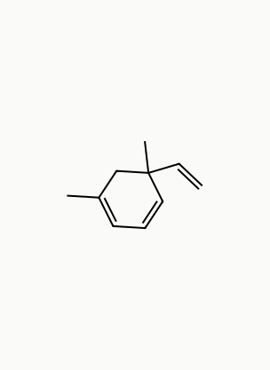 C=CC1(C)C=CC=C(C)C1